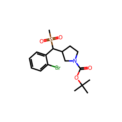 CC(C)(C)OC(=O)N1CCC(C(c2ccccc2Br)S(C)(=O)=O)C1